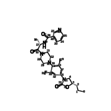 CCC[C@H]1CN(c2cc(F)c(N3CCN(C(=O)[C@H](C)NC(=O)c4cccnc4)CC3)c(F)c2)C(=O)O1